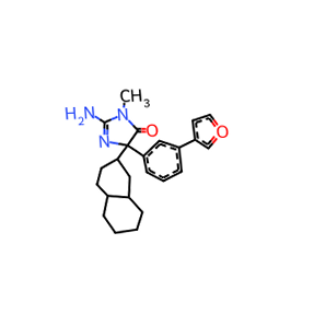 CN1C(=O)C(c2cccc(-c3ccoc3)c2)(C2CCC3CCCCC3C2)N=C1N